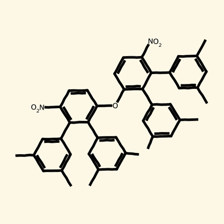 Cc1cc(C)cc(-c2c(Oc3ccc([N+](=O)[O-])c(-c4cc(C)cc(C)c4)c3-c3cc(C)cc(C)c3)ccc([N+](=O)[O-])c2-c2cc(C)cc(C)c2)c1